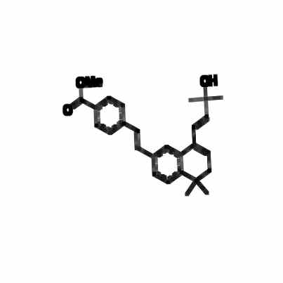 COC(=O)c1ccc(C=Cc2ccc3c(c2)C(C=CC(C)(C)O)=CCC3(C)C)cc1